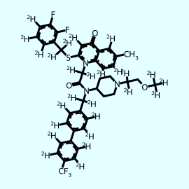 [2H]c1c([2H])c(F)c(F)c(C([2H])([2H])Sc2c([2H])c(=O)c3c([2H])c(C)c([2H])c([2H])c3n2C([2H])([2H])C(=O)N(C2CCN(C([2H])([2H])COC([2H])([2H])[2H])CC2)C([2H])([2H])c2c([2H])c([2H])c(-c3c([2H])c([2H])c(C(F)(F)F)c([2H])c3[2H])c([2H])c2[2H])c1[2H]